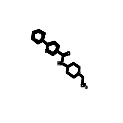 O=C(NC1CCN(CC(F)(F)F)CC1)c1ccc(-c2ccccc2)nc1